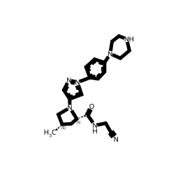 C[C@H]1C[C@@H](C(=O)NCC#N)N(c2cnn(-c3ccc(N4CCNCC4)cc3)c2)C1